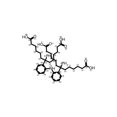 O=C(O)CCCCCC(P)(CCCCCC(=O)O)c1ccccc1Nc1ccccc1C(P)(CCCCCC(=O)O)CCCCCC(=O)O